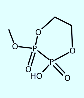 COP1(=O)OCCOP1(=O)O